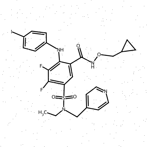 CCN(Cc1ccncc1)S(=O)(=O)c1cc(C(=O)NOCC2CC2)c(Nc2ccc(I)cc2)c(F)c1F